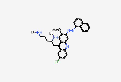 CCNCCCC(Cc1c2cc(Cl)ccc2nc2cc(N=Nc3cccc4ccccc34)c(OC)cc12)NCC